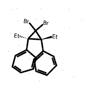 CC[C@]1(c2ccccc2)C(Br)(Br)[C@]1(CC)c1ccccc1